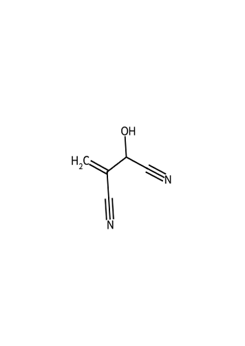 C=C(C#N)C(O)C#N